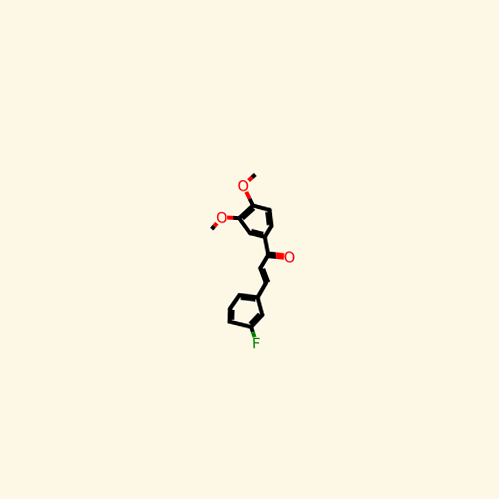 COc1ccc(C(=O)C=Cc2cccc(F)c2)cc1OC